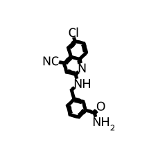 N#Cc1cc(NCc2cccc(C(N)=O)c2)nc2ccc(Cl)cc12